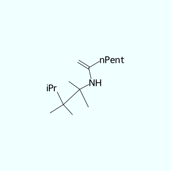 C=C(CCCCC)NC(C)(C)C(C)(C)C(C)C